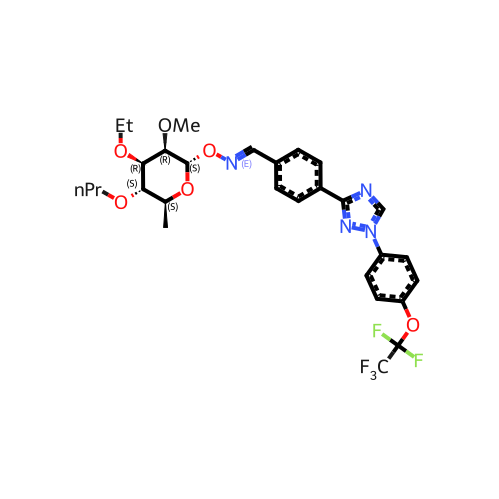 CCCO[C@@H]1[C@@H](OCC)[C@@H](OC)[C@H](O/N=C/c2ccc(-c3ncn(-c4ccc(OC(F)(F)C(F)(F)F)cc4)n3)cc2)O[C@H]1C